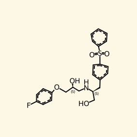 O=S(=O)(c1ccccc1)c1ccc(C[C@@H](CO)NC[C@H](O)COc2ccc(F)cc2)cc1